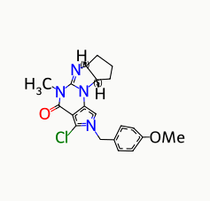 COc1ccc(Cn2cc3c(c2Cl)C(=O)N(C)C2=N[C@@H]4CCC[C@@H]4N23)cc1